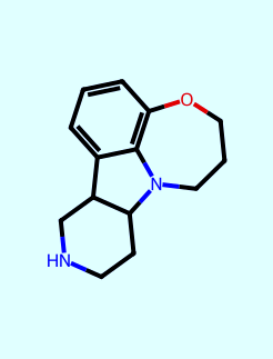 c1cc2c3c(c1)C1CNCCC1N3CCCO2